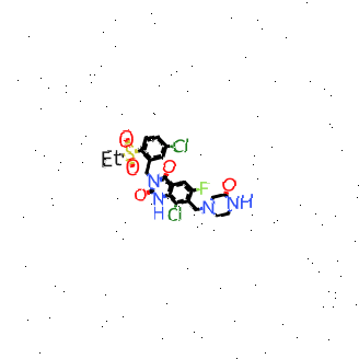 CCS(=O)(=O)c1ccc(Cl)cc1Cn1c(=O)[nH]c2c(Cl)c(CN3CCNC(=O)C3)c(F)cc2c1=O